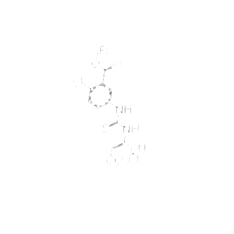 CCOC(=O)C=C(C)NC(=S)Nc1ccc(Cl)c(C(=O)OC(C)C)c1